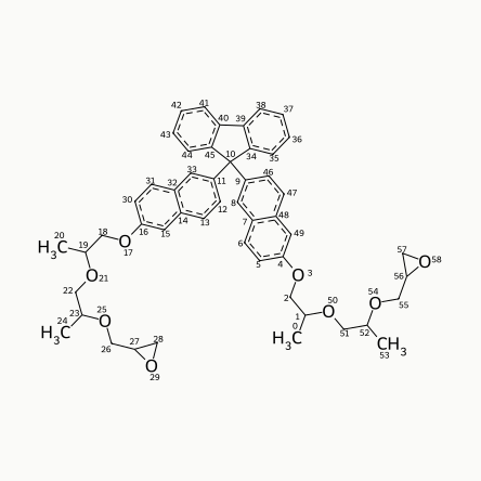 CC(COc1ccc2cc(C3(c4ccc5cc(OCC(C)OCC(C)OCC6CO6)ccc5c4)c4ccccc4-c4ccccc43)ccc2c1)OCC(C)OCC1CO1